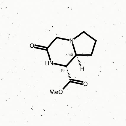 COC(=O)[C@@H]1NC(=O)CN2CCC[C@@H]12